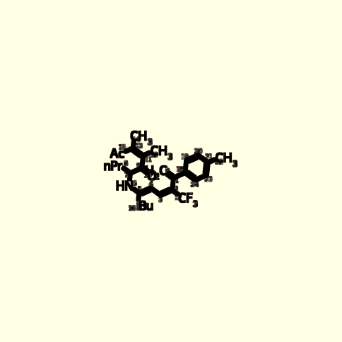 C=C(/C(=C\C=C(\NC(CCC)C(=O)/C(C)=C(/C)C(C)=O)C(C)CC)C(F)(F)F)c1ccc(C)cc1